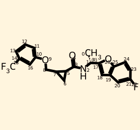 C[C@@H](NC(=O)C1CC1COc1cccc(C(F)(F)F)c1)c1cc2cc(F)ccc2o1